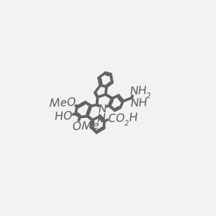 COc1cc(C2Nc3ccc(C(=N)N)cc3C3c4ccccc4CC23)c(-c2cccc(C(=O)O)c2)c(OC)c1O